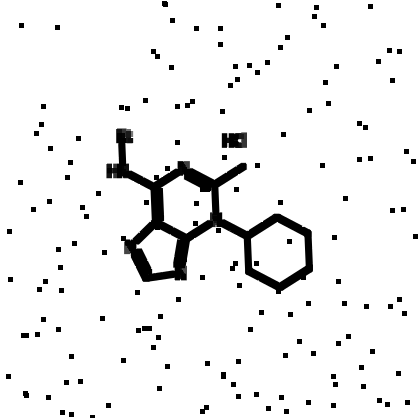 CCNc1nc(C)n(C2CCCCC2)c2ncnc1-2.Cl